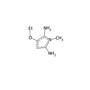 CCOc1cc(N)n(C)c1N